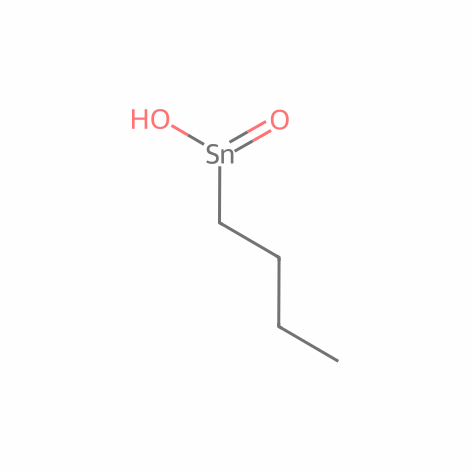 CCC[CH2][Sn](=[O])[OH]